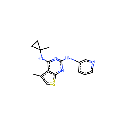 Cc1csc2nc(Nc3cccnc3)nc(NC3(C)CC3)c12